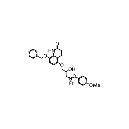 CCN(CC(O)COc1ccc(OCc2ccccc2)c2c1CCC(=O)N2)Oc1ccc(OC)cc1